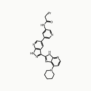 CC(C)CC(=O)Nc1cncc(-c2cnc3[nH]nc(-c4nc5c(N6CCCCC6)ccnc5[nH]4)c3c2)c1